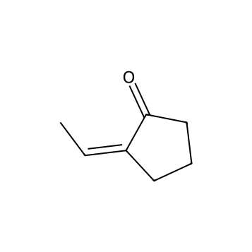 CC=C1CCCC1=O